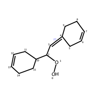 OOC(/C=C1\CC=CCC1)C1CC=CCC1